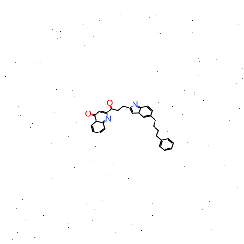 O=C(CCC1=CC2C=C(CCCCc3ccccc3)C=CC2=N1)C1=CC(=O)C2C=CC=CC2=N1